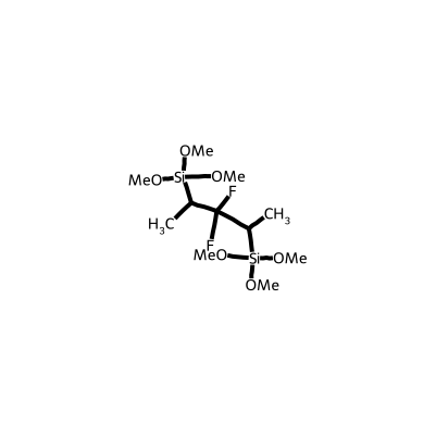 CO[Si](OC)(OC)C(C)C(F)(F)C(C)[Si](OC)(OC)OC